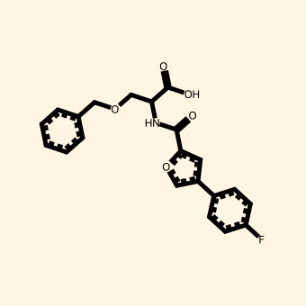 O=C(NC(COCc1ccccc1)C(=O)O)c1cc(-c2ccc(F)cc2)co1